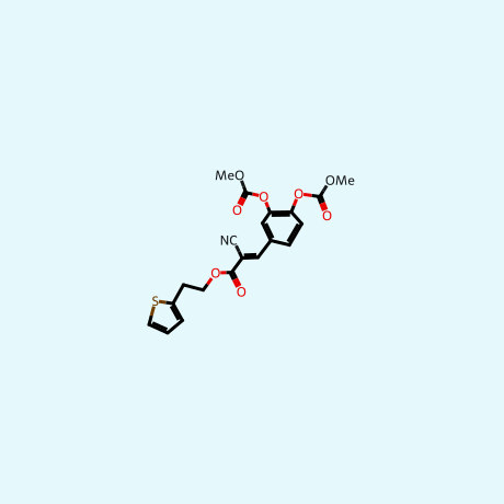 COC(=O)Oc1ccc(/C=C(\C#N)C(=O)OCCc2cccs2)cc1OC(=O)OC